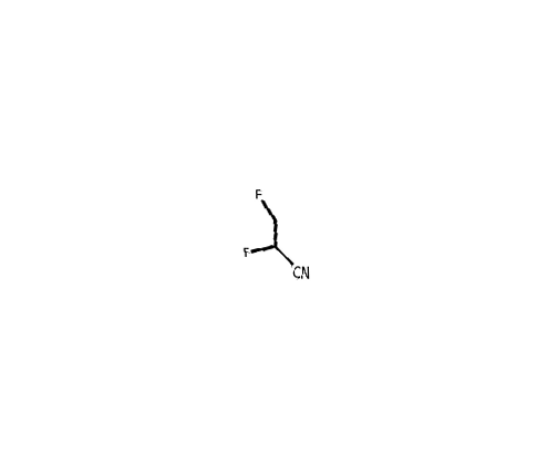 N#CC(F)CF